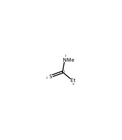 CCC(=S)NC